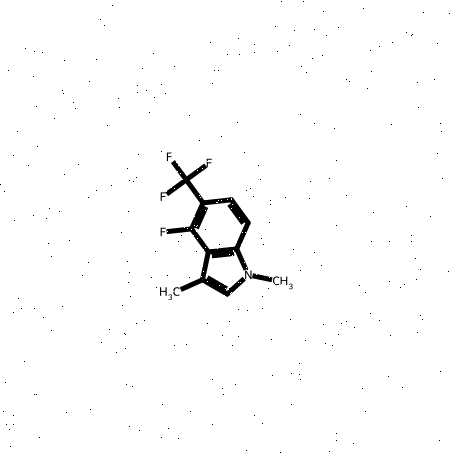 Cc1cn(C)c2ccc(C(F)(F)F)c(F)c12